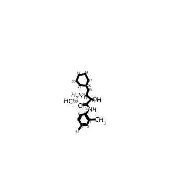 Cc1cc(I)ccc1NC(=O)C(O)[C@H](N)CC1CCCCC1.Cl